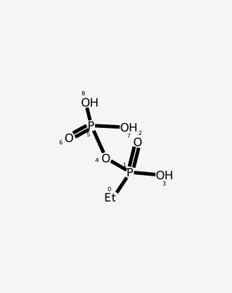 CCP(=O)(O)OP(=O)(O)O